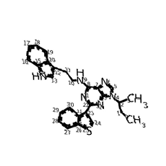 CCC(C)n1cnc2c(NCCc3c[nH]c4ccccc34)nc(-c3csc4ccccc34)nc21